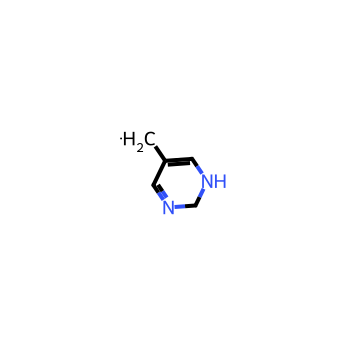 [CH2]C1=CNCN=C1